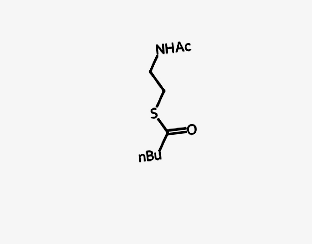 CCCCC(=O)SCCNC(C)=O